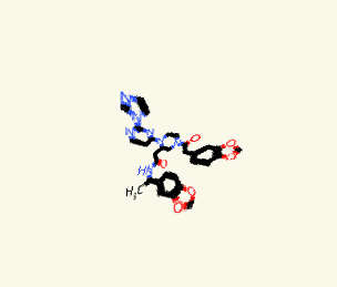 CC(NC(=O)CC1CN(C(=O)Cc2ccc3c(c2)OCO3)CCN1c1ccnc(-n2ccnc2)n1)c1ccc2c(c1)OCO2